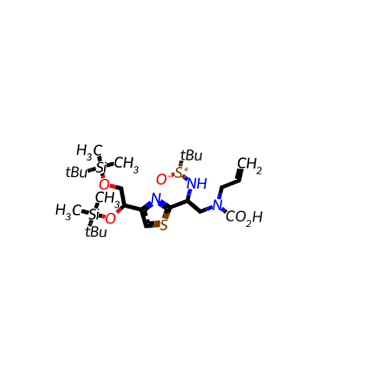 C=CCN(CC(N[S+]([O-])C(C)(C)C)c1nc(C(CO[Si](C)(C)C(C)(C)C)O[Si](C)(C)C(C)(C)C)cs1)C(=O)O